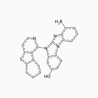 Bc1cccc2c1nc1n(-c3nccc4sc5ccccc5c34)c3cc(O)ccc3n21